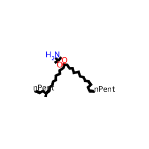 CCCCC/C=C\C/C=C\CCCCCCCCC1(CCCCCCCC/C=C(/C)C/C=C\CCCCC)OCC(C)(CN)O1